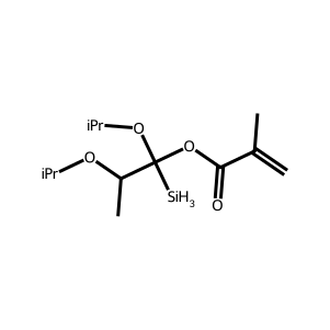 C=C(C)C(=O)OC([SiH3])(OC(C)C)C(C)OC(C)C